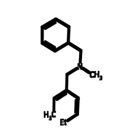 C/C=C(\C=C/CC)CN(C)CC1C=CC=CC1